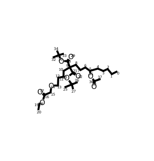 CCCCCC(CCCC(CCCCOCC(=O)OCC)(C(=O)OC(C)(C)C)C(=O)OC(C)(C)C)OC(C)=O